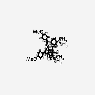 COc1ccc(/C(=C/C2(/C=C(/c3ccc(OC)cc3)c3ccc(N(C)C)cc3)OC(=O)c3c(Cl)c(Cl)c(Cl)c(Cl)c32)c2ccc(N(C)C)cc2)cc1